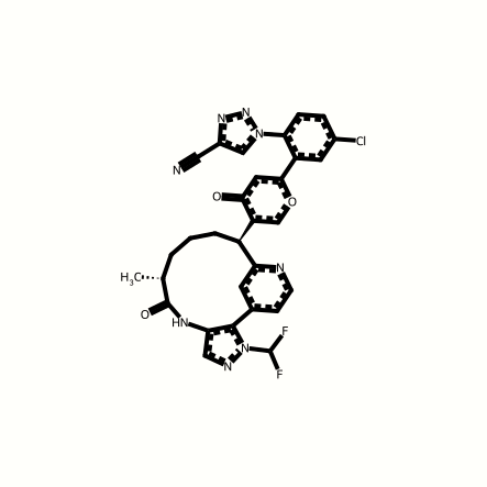 C[C@@H]1CCC[C@@H](c2coc(-c3cc(Cl)ccc3-n3cc(C#N)nn3)cc2=O)c2cc(ccn2)-c2c(cnn2C(F)F)NC1=O